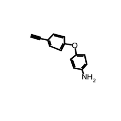 C#Cc1ccc(Oc2ccc(N)cc2)cc1